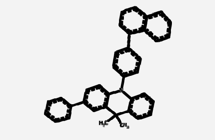 CC1(C)c2ccccc2N(c2ccc(-c3cccc4ccccc34)cc2)c2ccc(-c3ccccc3)cc21